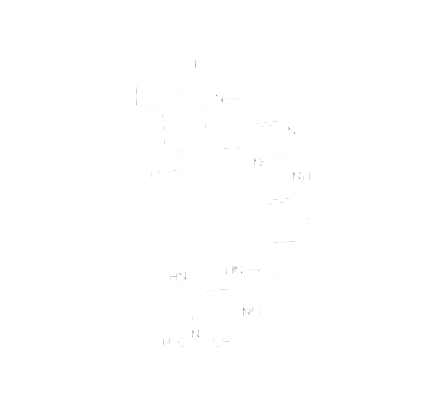 CN(C)C1CNC1C(=N)NC(=O)c1ccc(Nc2ncc3c(n2)-c2ccc(Cl)cc2C(c2c(F)cccc2F)=NC3)cc1